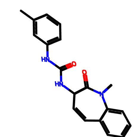 Cc1cccc(NC(=O)NC2C=Cc3ccccc3N(C)C2=O)c1